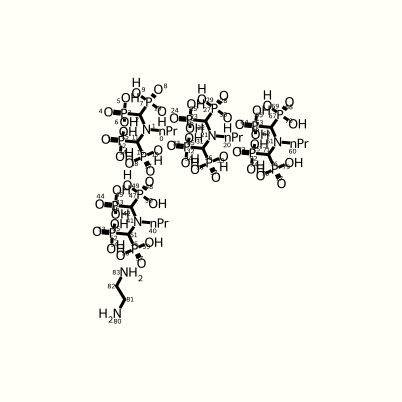 CCCN(C(P(=O)(O)O)P(=O)(O)O)C(P(=O)(O)O)P(=O)(O)O.CCCN(C(P(=O)(O)O)P(=O)(O)O)C(P(=O)(O)O)P(=O)(O)O.CCCN(C(P(=O)(O)O)P(=O)(O)O)C(P(=O)(O)O)P(=O)(O)O.CCCN(C(P(=O)(O)O)P(=O)(O)O)C(P(=O)(O)O)P(=O)(O)O.NCCN